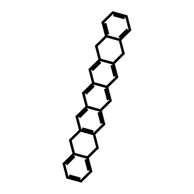 c1ccc2c(c1)Cc1cc3cc4cc5c(cc4cc3cc1C2)Cc1ccccc1C5